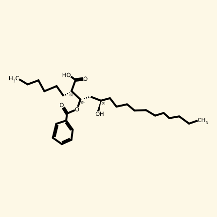 CCCCCCCCCCC[C@@H](O)C[C@H](OC(=O)c1ccccc1)[C@H](CCCCCC)C(=O)O